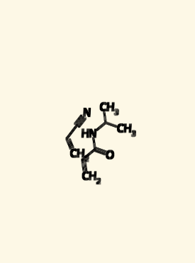 C=CC#N.C=CC(=O)NC(C)C